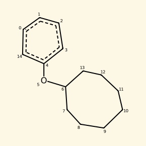 [c]1cccc(OC2CCCCCCC2)c1